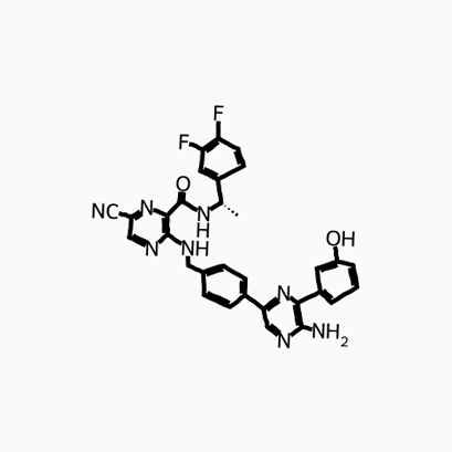 C[C@H](NC(=O)c1nc(C#N)cnc1NCc1ccc(-c2cnc(N)c(-c3cccc(O)c3)n2)cc1)c1ccc(F)c(F)c1